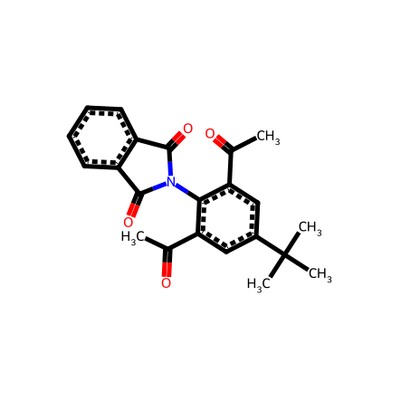 CC(=O)c1cc(C(C)(C)C)cc(C(C)=O)c1N1C(=O)c2ccccc2C1=O